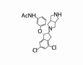 CC(=O)Nc1cccc(O[C@H]2c3cc(Cl)cc(Cl)c3C[C@@H]2N2CC3CNCC3C2)c1